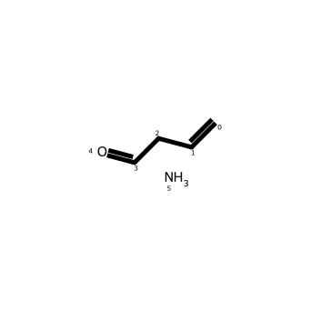 C=CCC=O.N